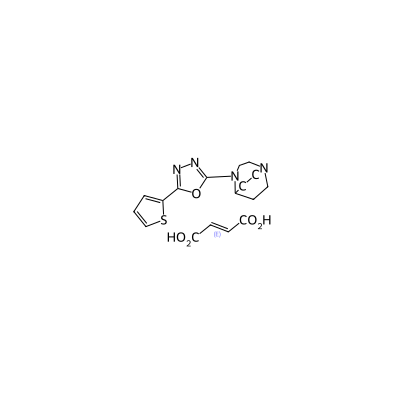 O=C(O)/C=C/C(=O)O.c1csc(-c2nnc(N3CCN4CCC3CC4)o2)c1